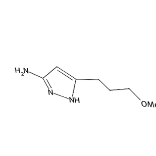 COCCCc1cc(N)n[nH]1